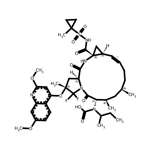 CCC(C)N(C(=O)O)[C@@H]1C(=O)N2[C@@H](C[C@@](C)(Oc3cc(OC)nc4cc(OC)ccc34)C2(F)F)C(=O)N[C@]2(C(=O)NS(=O)(=O)C3(C)CC3)C[C@H]2/C=C\CC[C@@H](C)C[C@H]1C